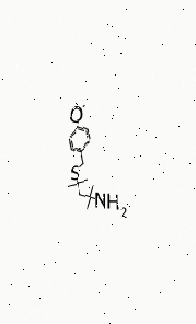 COc1ccc(CSC(C)(C)CC(C)(C)N)cc1